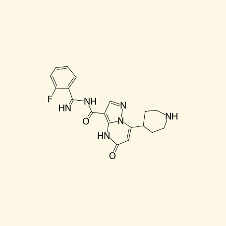 N=C(NC(=O)c1cnn2c(C3CCNCC3)cc(=O)[nH]c12)c1ccccc1F